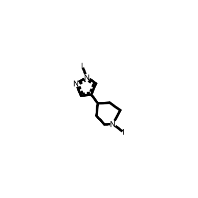 IN1CCC(c2cnn(I)c2)CC1